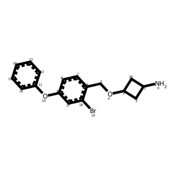 NC1CC(OCc2ccc(Oc3ccccc3)cc2Br)C1